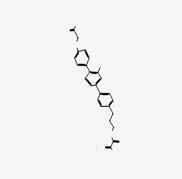 C=C(C)COc1ccc(-c2ccc(-c3ccc(CCCOC(=O)C(=C)C)cc3)cc2F)cc1